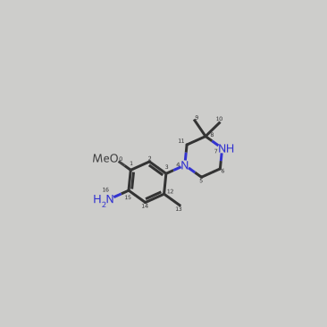 COc1cc(N2CCNC(C)(C)C2)c(C)cc1N